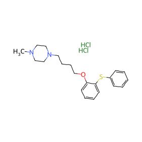 CN1CCN(CCCCOc2ccccc2Sc2ccccc2)CC1.Cl.Cl